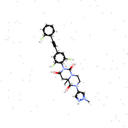 Cn1cc(N2CCN3C(=O)N(c4c(F)cc(C#Cc5ccccc5F)cc4F)C(=O)CC3(C)C2=O)cn1